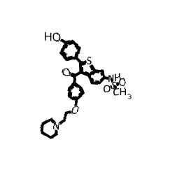 CS(=O)(=O)Nc1ccc2c(C(=O)c3ccc(OCCN4CCCCC4)cc3)c(-c3ccc(O)cc3)sc2c1